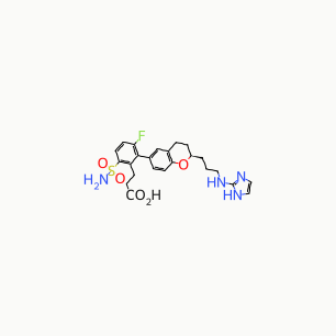 NS(=O)(=O)c1ccc(F)c(-c2ccc3c(c2)CC[C@@H](CCCNc2ncc[nH]2)O3)c1CCC(=O)O